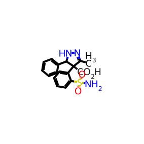 CC1=NNC(c2ccccc2)C1(C(=O)O)c1ccccc1S(N)(=O)=O